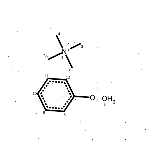 C[N+](C)(C)C.O.[O-]c1ccccc1